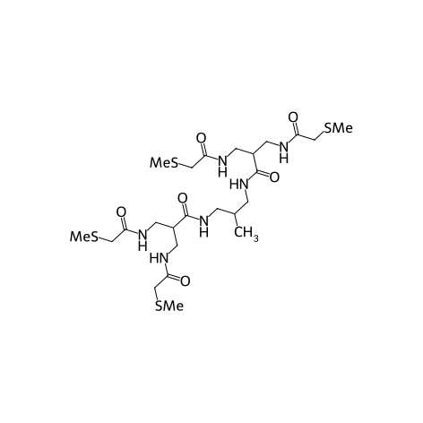 CSCC(=O)NCC(CNC(=O)CSC)C(=O)NCC(C)CNC(=O)C(CNC(=O)CSC)CNC(=O)CSC